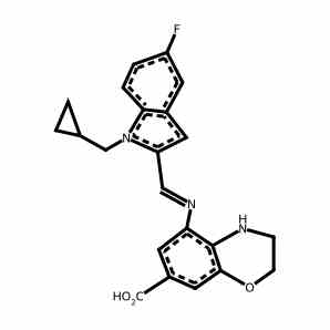 O=C(O)c1cc(N=Cc2cc3cc(F)ccc3n2CC2CC2)c2c(c1)OCCN2